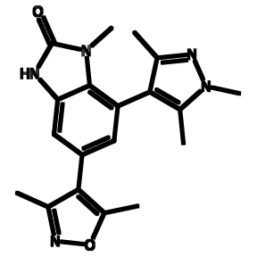 Cc1noc(C)c1-c1cc(-c2c(C)nn(C)c2C)c2c(c1)[nH]c(=O)n2C